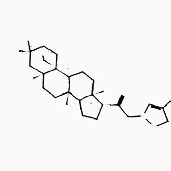 COC[C@]12CC[C@@](C)(O)C[C@H]1CC[C@H]1[C@@H]3CC[C@H](C(=O)CN4C=C(Cl)CN4)[C@@]3(C)CC[C@@H]12